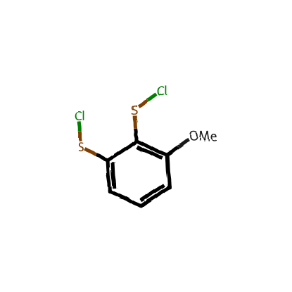 COc1cccc(SCl)c1SCl